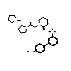 COc1ccc(-c2cccc(S(=O)(=O)N[C@H]3CCCN(CC(=O)N4CCC[C@H]4CN4CCCC4)C3=O)c2)cc1